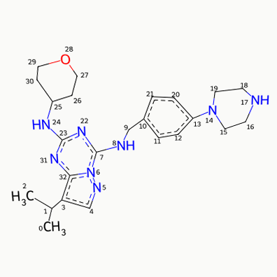 CC(C)c1cnn2c(NCc3ccc(N4CCNCC4)cc3)nc(NC3CCOCC3)nc12